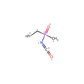 CCCCP(C)(=O)N=C=O